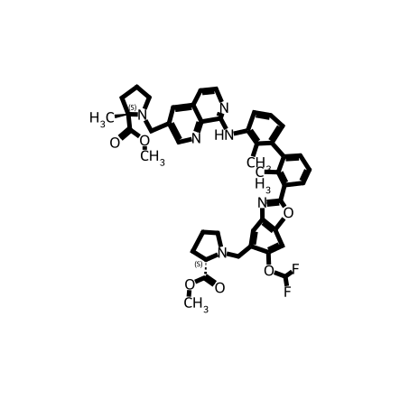 COC(=O)[C@@H]1CCCN1Cc1cc2nc(-c3cccc(-c4cccc(Nc5nccc6cc(CN7CCC[C@@]7(C)C(=O)OC)cnc56)c4C)c3C)oc2cc1OC(F)F